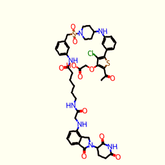 CC(=O)c1sc(-c2cccc(NC3CCN(S(=O)(=O)Cc4cccc(NC(=O)CCCCCNC(=O)CNc5cccc6c5CN(C5CCC(=O)NC5=O)C6=O)c4)CC3)c2)c(Cl)c1OCC(=O)O